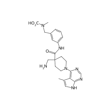 Cc1c[nH]c2ncnc(N3CCC(CN)(C(=O)Nc4cccc(CN(C)C(=O)O)c4)CC3)c12